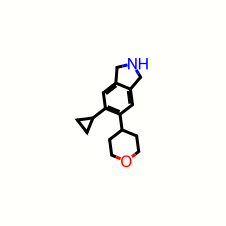 c1c2c(cc(C3CC3)c1C1CCOCC1)CNC2